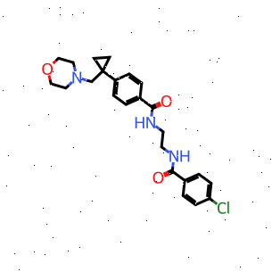 O=C(NCCNC(=O)c1ccc(C2(CN3CCOCC3)CC2)cc1)c1ccc(Cl)cc1